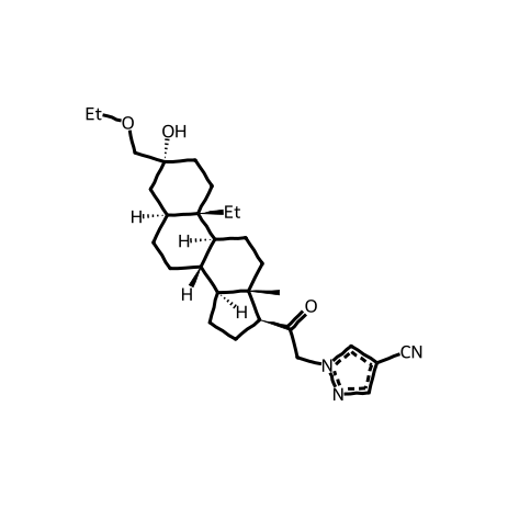 CCOC[C@@]1(O)CC[C@@]2(CC)[C@@H](CC[C@H]3[C@@H]4CC[C@H](C(=O)Cn5cc(C#N)cn5)[C@@]4(C)CC[C@@H]32)C1